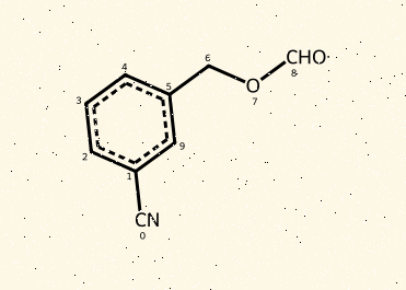 N#Cc1cccc(CO[C]=O)c1